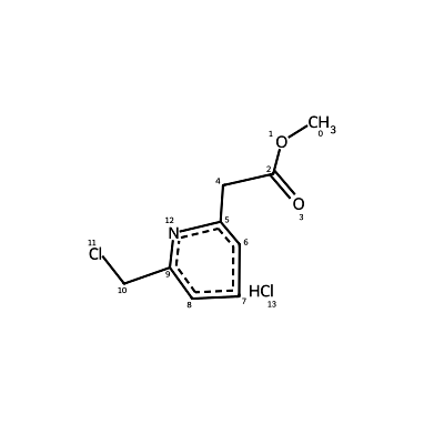 COC(=O)Cc1cccc(CCl)n1.Cl